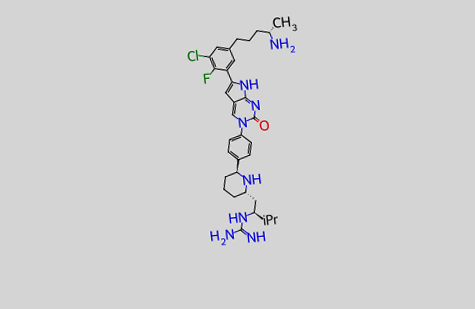 CC(C)[C@H](C[C@@H]1CCC[C@@H](c2ccc(-n3cc4cc(-c5cc(CCC[C@H](C)N)cc(Cl)c5F)[nH]c4nc3=O)cc2)N1)NC(=N)N